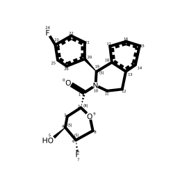 O=C([C@H]1C[C@H](O)[C@@H](F)CO1)N1CCc2ccccc2[C@@H]1c1ccc(F)cc1